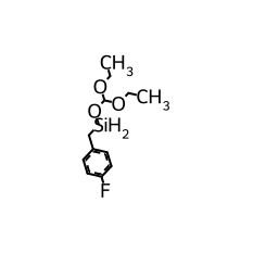 CCOC(OCC)O[SiH2]Cc1ccc(F)cc1